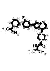 CC(C)NC(=O)N1CCN(c2ccnn3cc(C4=CC(F)C([C@H]5CCCN(C(C)C)C5)C=C4)cc23)CC1